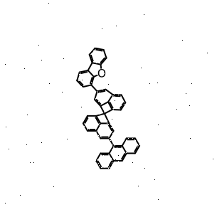 c1ccc2c(-c3cc4c5c(cccc5c3)C43c4cccc5cc(-c6cccc7c6oc6ccccc67)cc3c45)c3ccccc3cc2c1